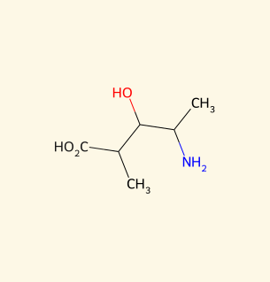 CC(N)C(O)C(C)C(=O)O